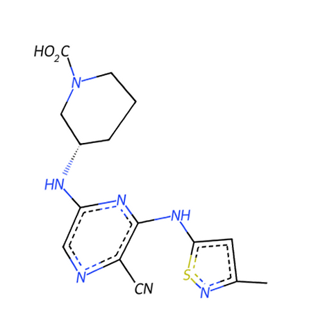 Cc1cc(Nc2nc(N[C@H]3CCCN(C(=O)O)C3)cnc2C#N)sn1